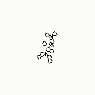 c1ccc(-c2c(-c3ccc(N(c4ccc5ccccc5c4)c4ccc5ccccc5c4)c4ccccc34)sc3ccc(N(c4ccccc4)c4ccccc4)cc23)cc1